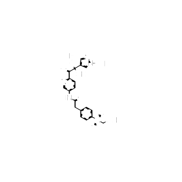 CCS(=O)(=O)c1ccc(CC(=O)Nc2ccc(C(=O)C(C)(C)c3cnn(C)c3)nc2)cc1